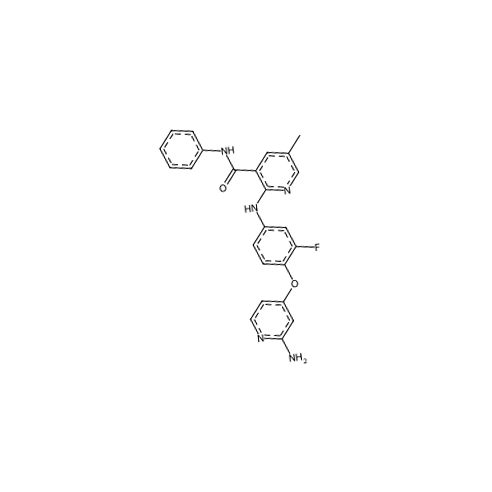 Cc1cnc(Nc2ccc(Oc3ccnc(N)c3)c(F)c2)c(C(=O)Nc2ccccc2)c1